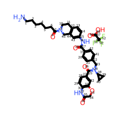 NCCCCCCC(=O)N1CCc2ccc(NC(=O)c3ccc(CN(C(=O)c4ccc5c(c4)OCC(=O)N5)C4CC4)cc3)cc2C1.O=C(O)C(F)(F)F